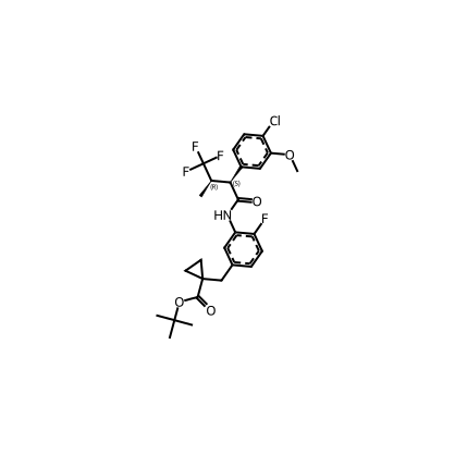 COc1cc([C@@H](C(=O)Nc2cc(CC3(C(=O)OC(C)(C)C)CC3)ccc2F)[C@@H](C)C(F)(F)F)ccc1Cl